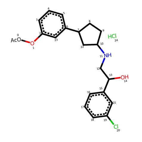 CC(=O)OOc1cccc(C2CCC(NCC(O)c3cccc(Cl)c3)C2)c1.Cl